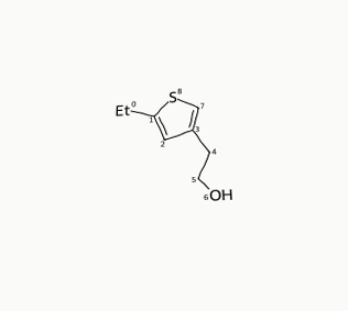 CCc1cc(CCO)cs1